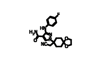 N#CCC1(n2cc(C(N)=O)c(Nc3ccc(F)cc3)n2)CCC2(CC1)OCCO2